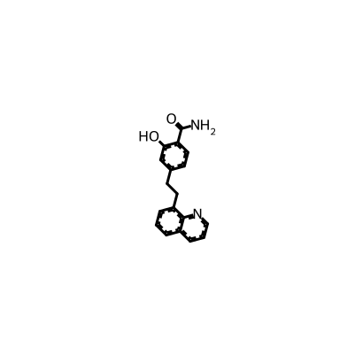 NC(=O)c1ccc(CCc2cccc3cccnc23)cc1O